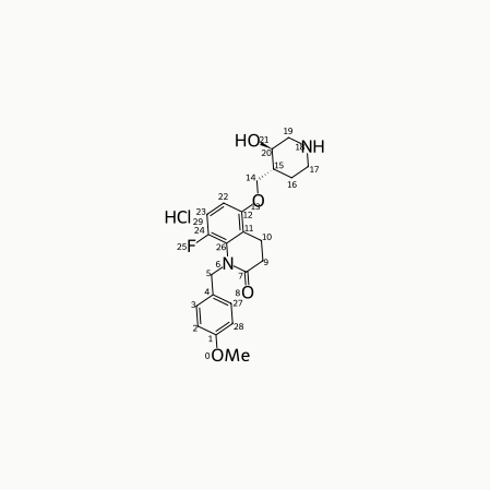 COc1ccc(CN2C(=O)CCc3c(OC[C@H]4CCNC[C@@H]4O)ccc(F)c32)cc1.Cl